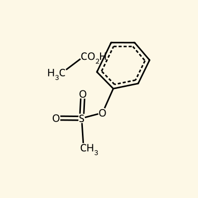 CC(=O)O.CS(=O)(=O)Oc1ccccc1